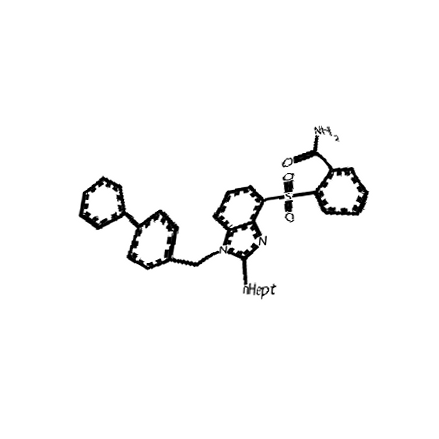 CCCCCCCc1nc2c(S(=O)(=O)c3ccccc3C(N)=O)cccc2n1Cc1ccc(-c2ccccc2)cc1